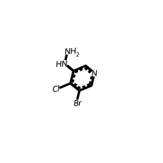 NNc1cncc(Br)c1Cl